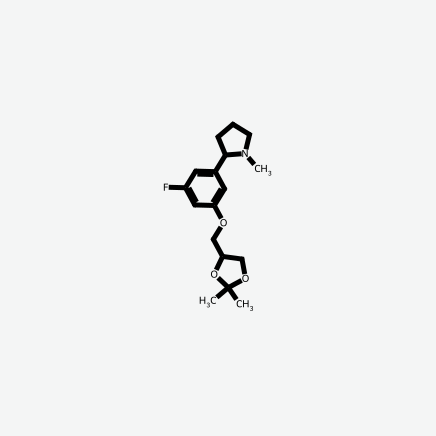 CN1CCCC1c1cc(F)cc(OCC2COC(C)(C)O2)c1